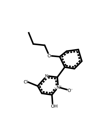 CCCOc1ccccc1-c1nc(Cl)cc(O)[n+]1[O-]